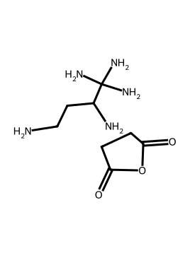 NCCC(N)C(N)(N)N.O=C1CCC(=O)O1